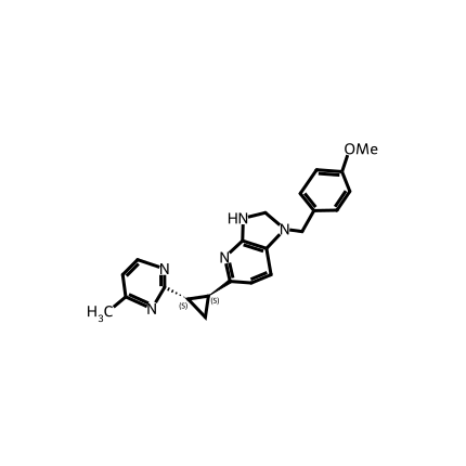 COc1ccc(CN2CNc3nc([C@H]4C[C@@H]4c4nccc(C)n4)ccc32)cc1